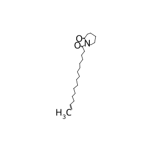 CC=CCCCCCCCCCCCCCC(=O)N1CCCCCC1=O